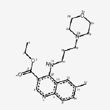 CCOC(=O)c1cnc2ccc(C)cc2c1NCCCN1CCOCC1